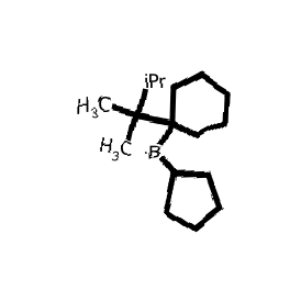 CC(C)C(C)(C)C1([B]C2CCCC2)CCCCC1